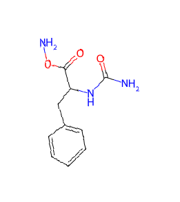 NOC(=O)C(Cc1ccccc1)NC(N)=O